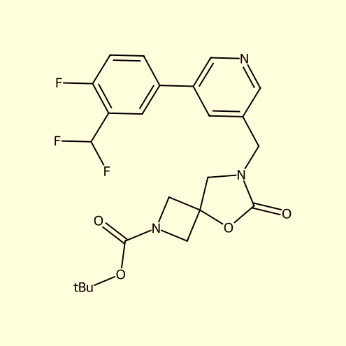 CC(C)(C)OC(=O)N1CC2(C1)CN(Cc1cncc(-c3ccc(F)c(C(F)F)c3)c1)C(=O)O2